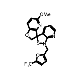 COc1ccc2c(n1)C1(CO2)SN(Cc2ccc(C(F)(F)F)o2)c2ncccc21